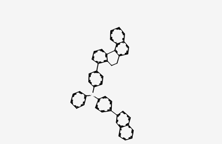 c1ccc(N(c2ccc(-c3ccc4ccccc4c3)cc2)c2ccc(-c3cccc4c3CCc3ccc5ccccc5c3-4)cc2)cc1